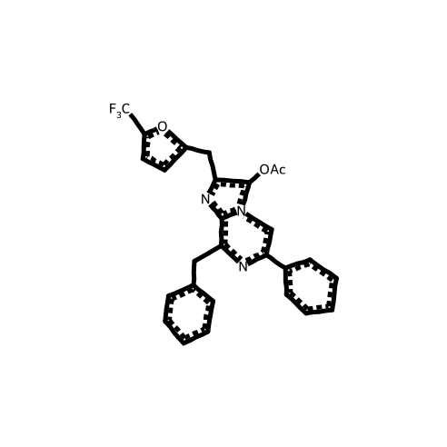 CC(=O)Oc1c(Cc2ccc(C(F)(F)F)o2)nc2c(Cc3ccccc3)nc(-c3ccccc3)cn12